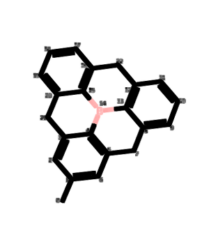 Cc1cc2c3c(c1)Cc1cccc4c1B3c1c(cccc1C2)C4